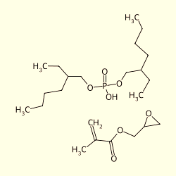 C=C(C)C(=O)OCC1CO1.CCCCC(CC)COP(=O)(O)OCC(CC)CCCC